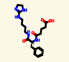 O=C(O)CCCC(=O)N[C@H](Cc1ccccc1)C(=O)NCCCCNC1=NCCN1